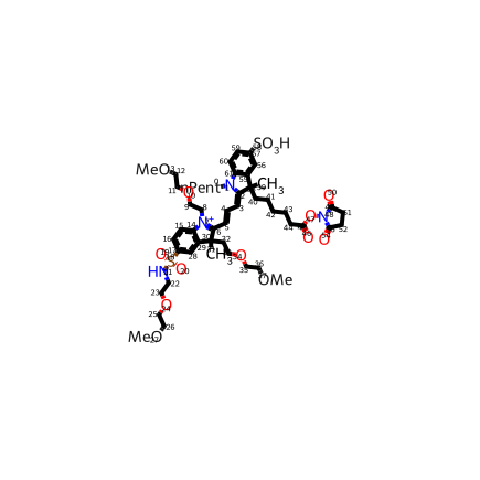 CCCCCN1C(=CC=CC2=[N+](CCOCCOC)c3ccc(S(=O)(=O)NCCOCCOC)cc3C2(C)CCOCCOC)C(C)(CCCCCC(=O)ON2C(=O)CCC2=O)c2cc(S(=O)(=O)O)ccc21